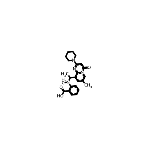 Cc1cc(C(C)N(C)c2ccccc2C(=O)O)c2nc(N3CCCCC3)cc(=O)n2c1